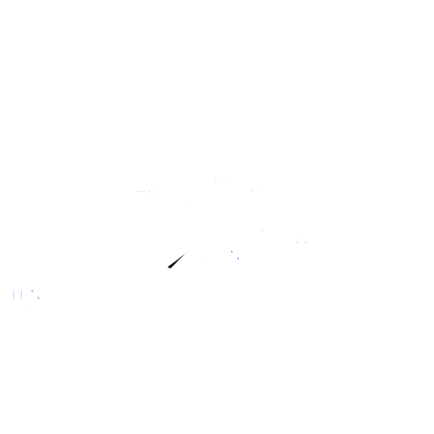 NCCCC[C@H](NC(=O)OC1C/C=C\CCCC1)C(=O)O